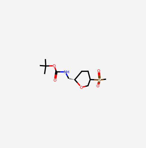 CC(C)(C)OC(=O)NC[C@@H]1CCC(S(C)(=O)=O)CO1